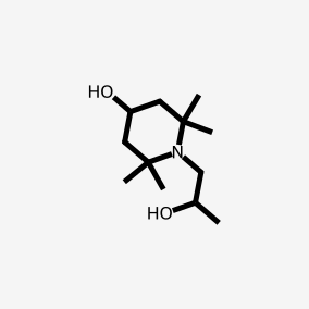 CC(O)CN1C(C)(C)CC(O)CC1(C)C